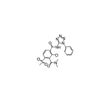 CN(C)C(=O)c1c(S(C)(=O)=O)ccc(C(=O)Nc2nnnn2-c2ccccc2)c1Cl